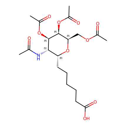 CC(=O)N[C@@H]1[C@@H](OC(C)=O)[C@@H](OC(C)=O)[C@@H](COC(C)=O)O[C@@H]1CCCCCC(=O)O